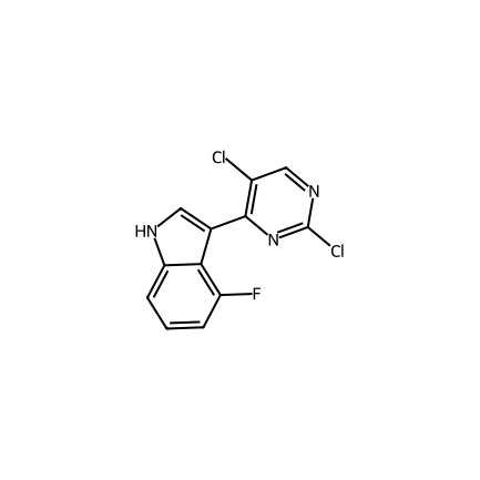 Fc1cccc2[nH]cc(-c3nc(Cl)ncc3Cl)c12